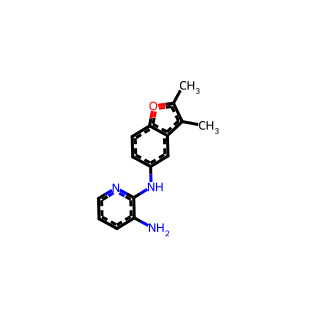 Cc1oc2ccc(Nc3ncccc3N)cc2c1C